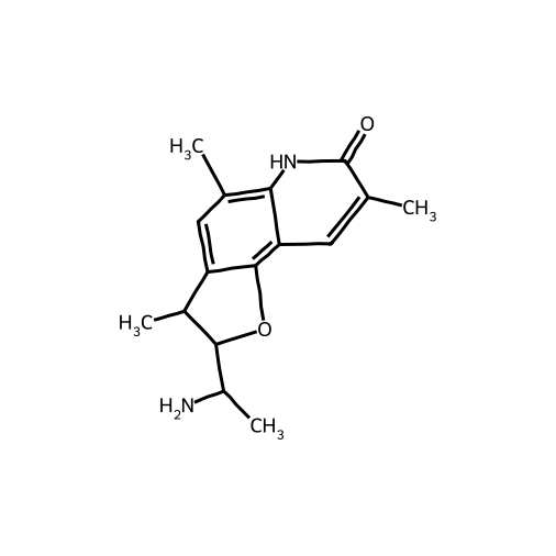 Cc1cc2c3c(cc(C)c2[nH]c1=O)C(C)C(C(C)N)O3